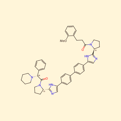 COc1ccccc1CCC(=O)N1CCC[C@H]1c1ncc(-c2ccc(-c3ccc(-c4cnc([C@@H]5CCCN5C(=O)[C@@H](c5ccccc5)N5CCCCC5)[nH]4)cc3)cc2)[nH]1